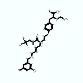 CCOC(Cc1ccc(OCCN(CCCCOCc2cc(Cl)cc(Cl)c2)C(=O)NCC(F)(F)F)cc1)C(=O)O